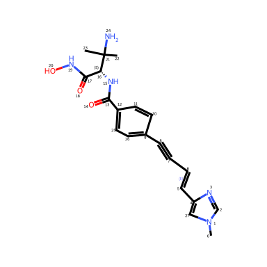 Cn1cnc(/C=C/C#Cc2ccc(C(=O)N[C@H](C(=O)NO)C(C)(C)N)cc2)c1